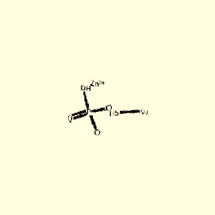 O=P([O-])([O-])O.SS.[Zn+2]